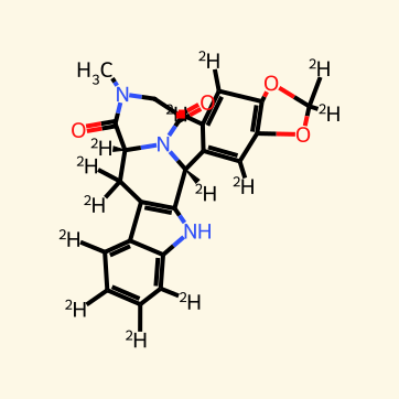 [2H]c1c([2H])c([C@]2([2H])c3[nH]c4c([2H])c([2H])c([2H])c([2H])c4c3C([2H])([2H])[C@]3([2H])C(=O)N(C)CC(=O)N23)c([2H])c2c1OC([2H])([2H])O2